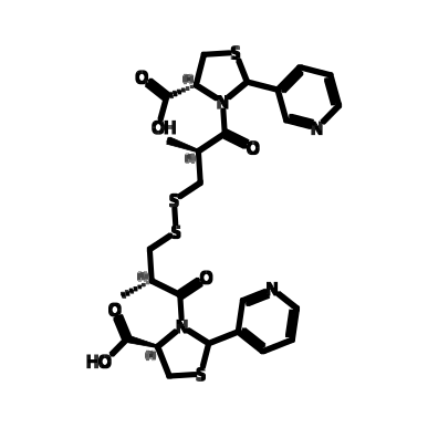 C[C@H](CSSC[C@@H](C)C(=O)N1C(c2cccnc2)SC[C@H]1C(=O)O)C(=O)N1C(c2cccnc2)SC[C@H]1C(=O)O